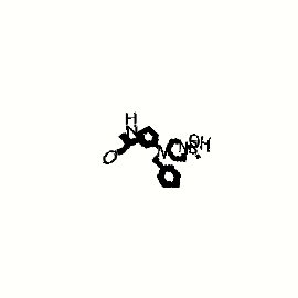 CB(O)N1CCC(N(Cc2ccccc2)c2ccc3[nH]cc(C=O)c3c2)CC1